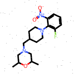 CC1CN(CC2CCN(c3c(F)cccc3[N+](=O)[O-])CC2)CC(C)O1